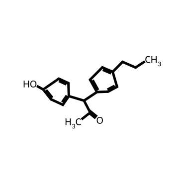 CCCc1ccc(C(C(C)=O)c2ccc(O)cc2)cc1